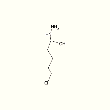 NNC(O)CCCCCl